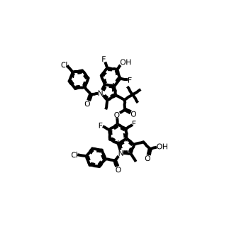 Cc1c(CC(=O)O)c2c(F)c(OC(=O)C(c3c(C)n(C(=O)c4ccc(Cl)cc4)c4cc(F)c(O)c(F)c34)C(C)(C)C)c(F)cc2n1C(=O)c1ccc(Cl)cc1